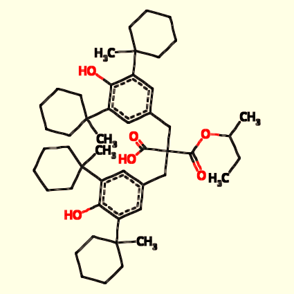 CCC(C)OC(=O)C(Cc1cc(C2(C)CCCCC2)c(O)c(C2(C)CCCCC2)c1)(Cc1cc(C2(C)CCCCC2)c(O)c(C2(C)CCCCC2)c1)C(=O)O